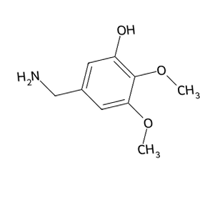 COc1cc(CN)cc(O)c1OC